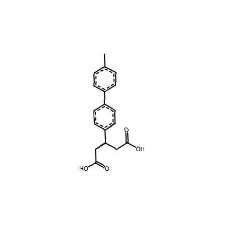 Cc1ccc(-c2ccc(C(CC(=O)O)CC(=O)O)cc2)cc1